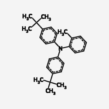 Cc1ccccc1N(c1ccc(C(C)(C)C)cc1)c1ccc(C(C)(C)C)cc1